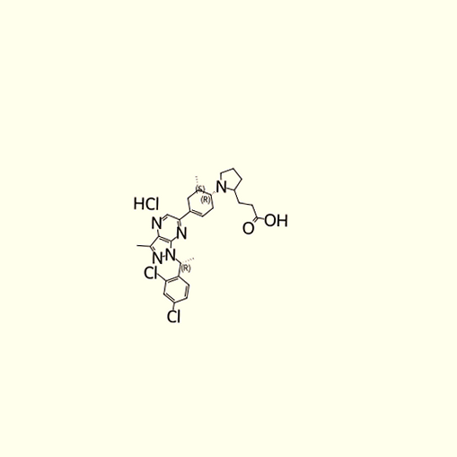 Cc1nn([C@H](C)c2ccc(Cl)cc2Cl)c2nc(C3=CC[C@@H](N4CCCC4CCC(=O)O)[C@@H](C)C3)cnc12.Cl